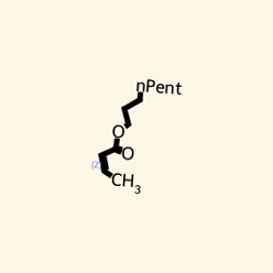 C/C=C\C(=O)OCCCCCCCC